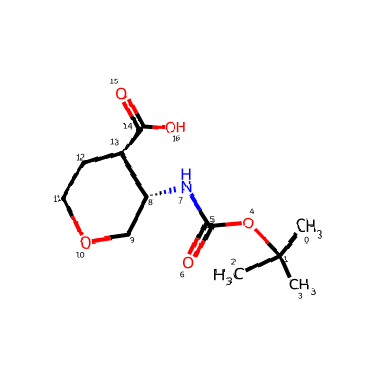 CC(C)(C)OC(=O)N[C@@H]1COCC[C@H]1C(=O)O